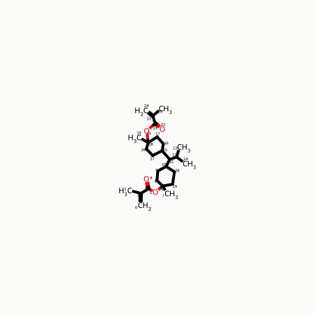 C=C(C)C(=O)OC1(C)CCC(C(C(C)C)C2CCC(C)(OC(=O)C(=C)C)CC2)CC1